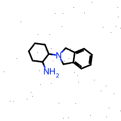 NC1CCCCC1N1Cc2ccccc2C1